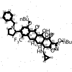 CCCCOc1cc(C2CCCN2Cc2ccccc2)c(C(F)(F)F)c2c1C(=O)C1=C(O)[C@]3(O)C(=O)c4c(OCCCC)noc4[C@@H](NC4CC4)[C@@H]3C[C@@H]1C2